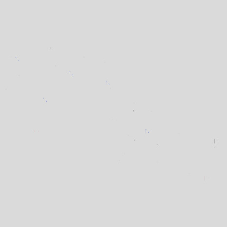 COc1ccc2nccc(N3CCN(C[C@@H]4CN(c5ccc(Br)c(C)c5)C(=O)O4)CC3)c2n1